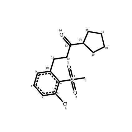 CS(=O)(=O)c1c(Cl)cccc1CCC(=O)C1CCCC1